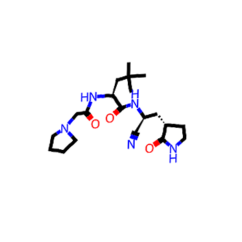 CC(C)(C)C[C@H](NC(=O)CN1CCCC1)C(=O)N[C@H](C#N)C[C@@H]1CCNC1=O